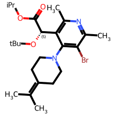 CC(C)=C1CCN(c2c(Br)c(C)nc(C)c2[C@H](OC(C)(C)C)C(=O)OC(C)C)CC1